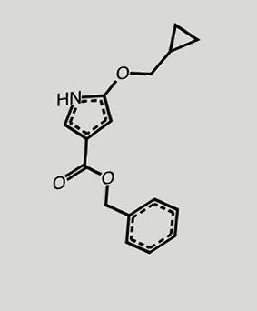 O=C(OCc1ccccc1)c1c[nH]c(OCC2CC2)c1